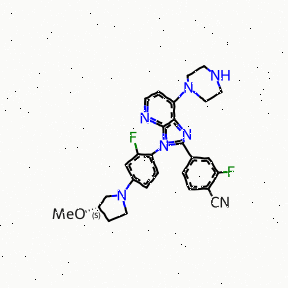 CO[C@H]1CCN(c2ccc(-n3c(-c4ccc(C#N)c(F)c4)nc4c(N5CCNCC5)ccnc43)c(F)c2)C1